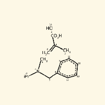 C=C(C)C(=O)O.CC(C)N(C)Cc1ccccc1.Cl